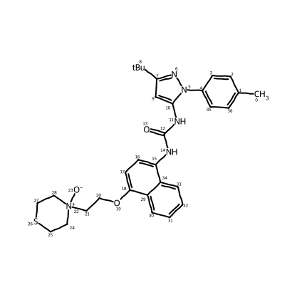 Cc1ccc(-n2nc(C(C)(C)C)cc2NC(=O)Nc2ccc(OCC[N+]3([O-])CCSCC3)c3ccccc23)cc1